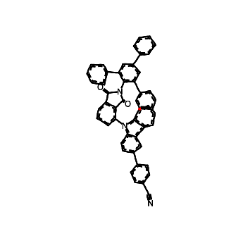 N#Cc1ccc(-c2ccc3c(c2)c2ccccc2n3-c2cccc3c2C(=O)N(c2c(-c4ccccc4)cc(-c4ccccc4)cc2-c2ccccc2)C3=O)cc1